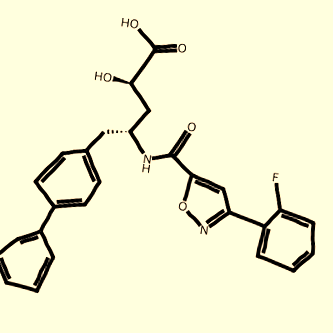 O=C(N[C@H](Cc1ccc(-c2ccccc2)cc1)C[C@@H](O)C(=O)O)c1cc(-c2ccccc2F)no1